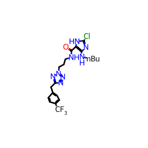 CCCCNc1nc(Cl)[nH]c1C(=O)NCCCn1nnc(Cc2ccc(C(F)(F)F)cc2)n1